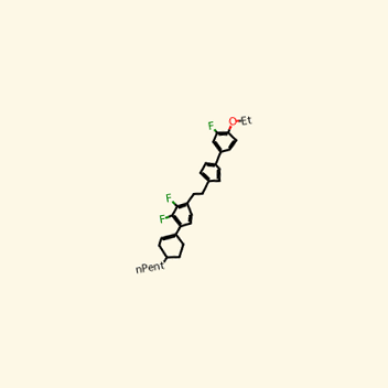 CCCCCC1CC=C(c2ccc(CCc3ccc(-c4ccc(OCC)c(F)c4)cc3)c(F)c2F)CC1